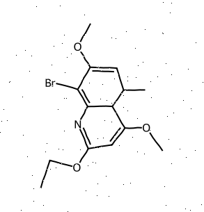 CCOC1=NC2=C(Br)C(OC)=CC(C)C2C(OC)=C1